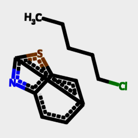 CCCCCCl.c1cc2nc3sc2cc13